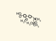 COc1cc(C(=O)O)ccc1-c1ccc(CN(C)CC(=O)N(C)C)cc1